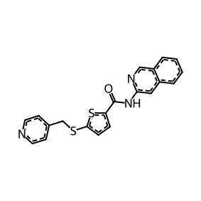 O=C(Nc1cc2ccccc2cn1)c1ccc(SCc2ccncc2)s1